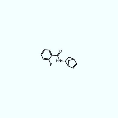 O=C(N[C@H]1CC2C=CC1C2)c1ccccc1F